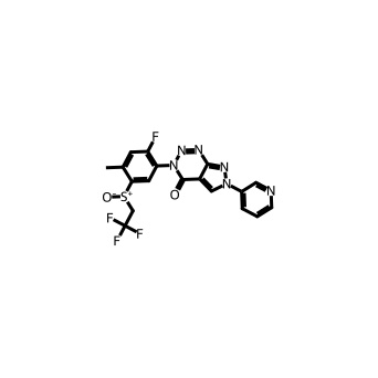 Cc1cc(F)c(-n2nnc3nn(-c4cccnc4)cc3c2=O)cc1[S+]([O-])CC(F)(F)F